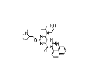 CCc1nc2c(N3CCNCC3C)nc(OCC3CCCN3C)nc2c(=O)n1-c1cccc2cccc(Cl)c12